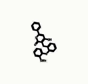 COc1ccccc1Sc1ccccc1Cc1c(O)cc(-c2ccccc2)oc1=O